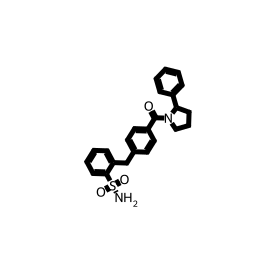 NS(=O)(=O)c1ccccc1Cc1ccc(C(=O)N2CCCC2c2ccccc2)cc1